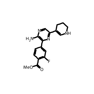 COC(=O)c1ccc(-c2nc(C3=CNCCC3)cnc2N)cc1F